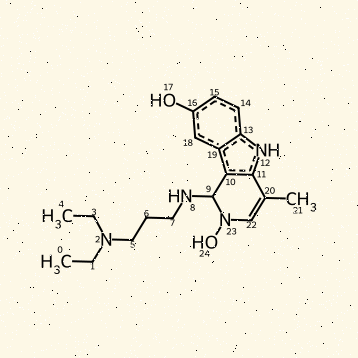 CCN(CC)CCCNC1c2c([nH]c3ccc(O)cc23)C(C)=CN1O